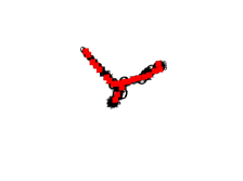 CCCCCCCCCCCCCCCCCCOc1cc(OCCCCCCOc2ccc(OCc3ccccc3)cc2)cc(C(=O)OCc2ccccc2)c1